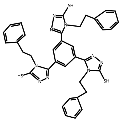 Sc1nnc(-c2cc(-c3nnc(S)n3CCc3ccccc3)cc(-c3nnc(S)n3CCc3ccccc3)c2)n1CCc1ccccc1